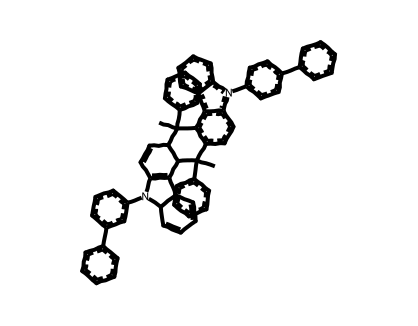 CC1(c2ccccc2)c2c(ccc3c2c2ccccc2n3-c2ccc(-c3ccccc3)cc2)C(C)(c2ccccc2)C2C3=C(C=CC21)N(c1cccc(-c2ccccc2)c1)C1C=CC=CC31